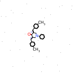 Cc1ccc(/C=C2\CN(c3ccccc3)C/C(=C\c3ccc(C)cc3)C2=O)cc1